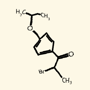 CC(C)Oc1ccc(C(=O)C(C)Br)cc1